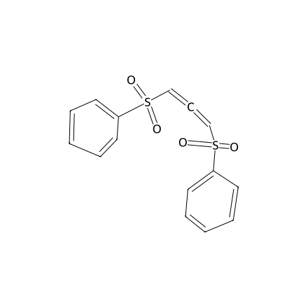 O=S(=O)(C=C=CS(=O)(=O)c1ccccc1)c1ccccc1